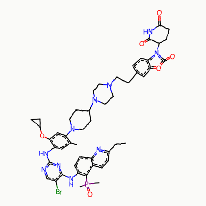 CCc1ccc2c(P(C)(C)=O)c(Nc3nc(Nc4cc(C)c(N5CCC(N6CCN(CCc7ccc8c(c7)oc(=O)n8C7CCC(=O)NC7=O)CC6)CC5)cc4OC4CC4)ncc3Br)ccc2n1